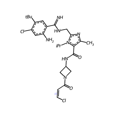 Cc1nc(CNC(=N)c2cc(C(C)(C)C)c(Cl)cc2N)n(C(C)C)c1C(=O)NC1CN(C(=O)/C=C\Cl)C1